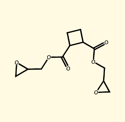 O=C(OCC1CO1)C1CCC1C(=O)OCC1CO1